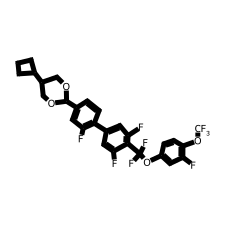 Fc1cc(OC(F)(F)c2c(F)cc(-c3ccc(C4OCC(C5CCC5)CO4)cc3F)cc2F)ccc1OC(F)(F)F